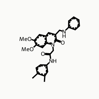 COc1cc2cc(CNc3ccccc3)c(=O)n(CC(=O)Nc3ccc(C)c(C)c3)c2cc1OC